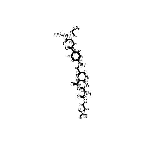 CCCNC(=O)[C@H](CCC(C)C)CC(=O)c1ccc(NCC2=NC3C(=O)N=C(NC(=O)OCC[Si](C)(C)C)N=C3N=C2)cc1